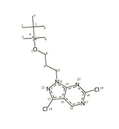 CC(C)(C)[Si](C)(C)OCCCn1nc(Cl)c2cnc(Cl)nc21